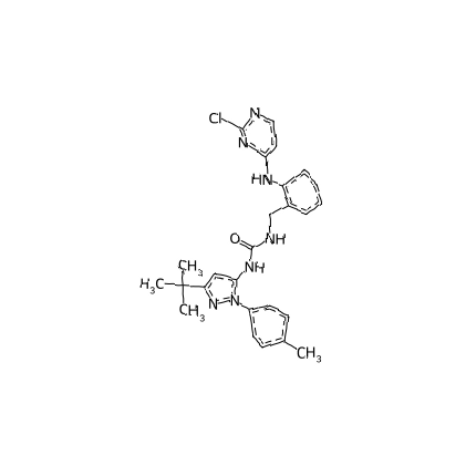 Cc1ccc(-n2nc(C(C)(C)C)cc2NC(=O)NCc2ccccc2Nc2ccnc(Cl)n2)cc1